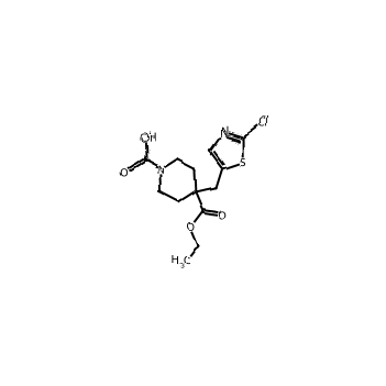 CCOC(=O)C1(Cc2cnc(Cl)s2)CCN(C(=O)O)CC1